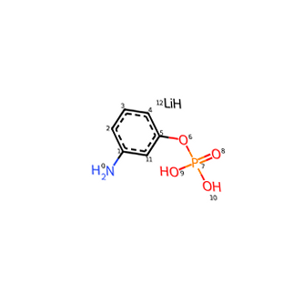 Nc1cccc(OP(=O)(O)O)c1.[LiH]